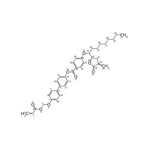 C=CC(=O)OCOc1ccc(-c2ccc(OC(=O)c3ccc(OC(CCCCCCCC)C4CC(=C)C(=O)O4)cc3)cc2)cc1